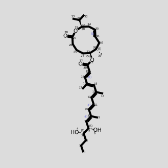 CCC[C@H](O)[C@@H](O)/C=C(C)/C=C/C=C(C)C=C(C)/C=C/C(=O)O[C@H]1CCCC(=O)O[C@@H](C(C)C)C/C=C/C[C@@H]1C